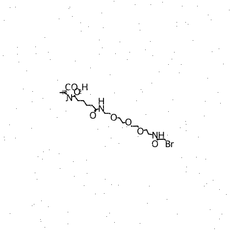 C[C@@H](C(=O)O)N(C)C(=O)CCCCC(=O)NCCOCCOCCOCCNC(=O)CBr